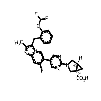 Cc1nc2cc(F)c(-c3cnc(N4C[C@H]5C[C@@]5(C(=O)O)C4)nc3)cn2c1Cc1ccccc1OC(F)F